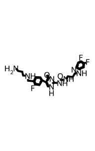 NCCCNCc1ccc(-c2c[nH]c(NC(=O)NCCc3nc4cc(F)c(F)cc4[nH]3)nc2=O)cc1F